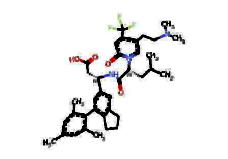 Cc1cc(C)c(-c2cc([C@H](CC(=O)O)NC(=O)[C@@H](CC(C)C)n3cc(CCN(C)C)c(C(F)(F)F)cc3=O)cc3c2CCC3)c(C)c1